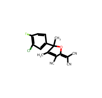 CC1=C(C#N)C(=C(C#N)C#N)OC1(C)c1ccc(F)c(Cl)c1